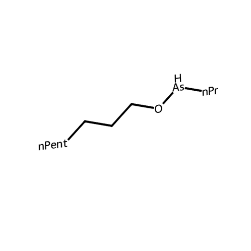 CCCCCCCCO[AsH]CCC